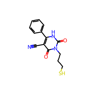 N#Cc1c(-c2ccccc2)[nH]c(=O)n(CCCS)c1=O